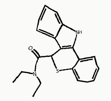 CCN(CC)C(=O)C1Sc2ccccc2-c2[nH]c3ccccc3c21